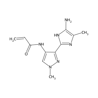 C=CC(=O)Nc1cn(C)nc1-c1nc(C)c(N)[nH]1